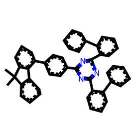 CC1(C)c2ccccc2-c2c(-c3ccc(-c4nc(-c5ccccc5-c5ccccc5)nc(-c5ccccc5-c5ccccc5)n4)cc3)cccc21